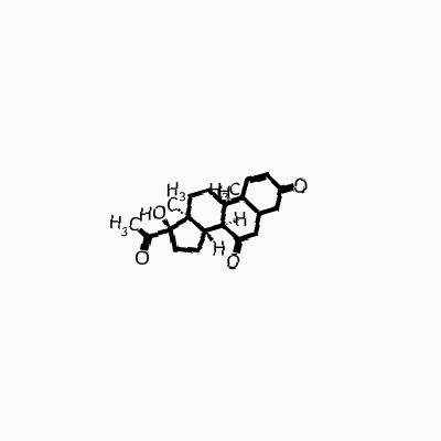 CC(=O)[C@@]1(O)CC[C@H]2[C@@H]3C(=O)CC4CC(=O)C=C[C@]4(C)[C@H]3CC[C@@]21C